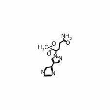 CS(=O)(=O)C(CCC(N)=O)n1cc(-c2cnccn2)cn1